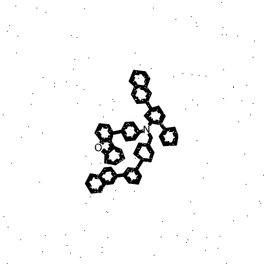 C1=CC(c2cccc(-c3ccc4ccccc4c3)c2)CC=C1CN(c1ccc(-c2cccc3oc4ccccc4c23)cc1)c1cc(-c2ccc3ccccc3c2)ccc1-c1ccccc1